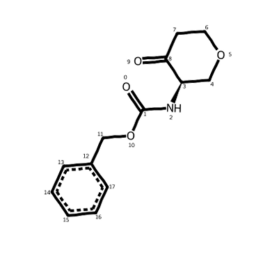 O=C(N[C@@H]1COCCC1=O)OCc1ccccc1